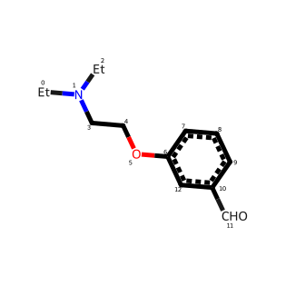 CCN(CC)CCOc1cccc(C=O)c1